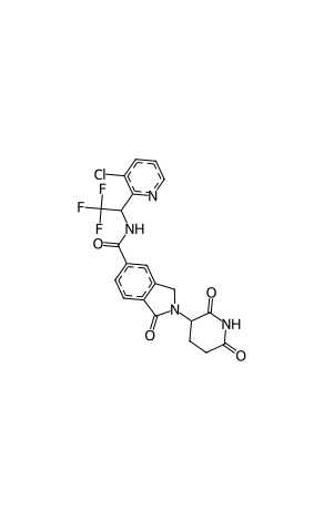 O=C1CCC(N2Cc3cc(C(=O)NC(c4ncccc4Cl)C(F)(F)F)ccc3C2=O)C(=O)N1